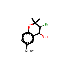 CC(=O)Nc1ccc2c(c1)[C@H](O)[C@@H](Br)C(C)(C)O2